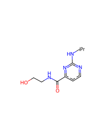 CC(C)Nc1nccc(C(=O)NCCO)n1